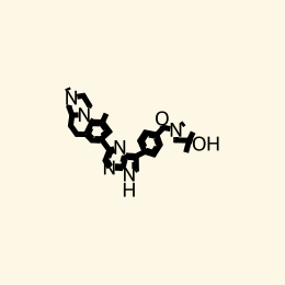 Cc1cc(-c2cnc3[nH]cc(-c4ccc(C(=O)N(C)CC(C)(C)O)cc4)c3n2)cc2c1N1CCN(C)CC1CC2